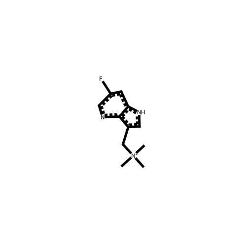 C[N+](C)(C)Cc1c[nH]c2cc(F)cnc12